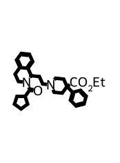 CCOC(=O)C1(c2ccccc2)CCN(CCC2c3ccccc3CCN2C(=O)C2CCCC2)CC1